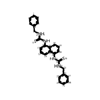 S=C(NCc1ccccc1)Nc1cccc2c(NC(=S)NCc3ccccc3)cccc12